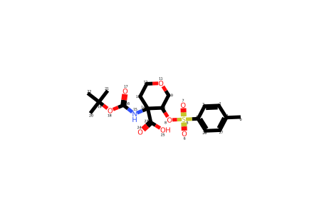 Cc1ccc(S(=O)(=O)OC2COCCC2(NC(=O)OC(C)(C)C)C(=O)O)cc1